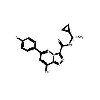 Cc1cc(-c2ccc(F)cc2)nn2c(C(=O)N[C@@H](C)C3CC3)nnc12